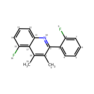 Cc1c(-c2ccccc2F)nc2cccc(F)c2c1C